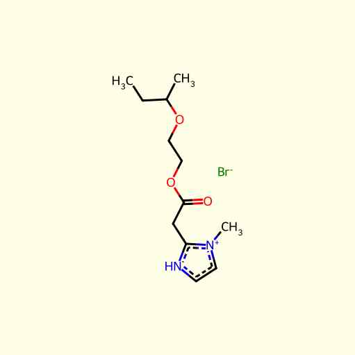 CCC(C)OCCOC(=O)Cc1[nH]cc[n+]1C.[Br-]